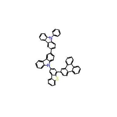 c1ccc(-n2c3ccccc3c3cc(-c4ccc5c(c4)c4ccccc4n5-c4cc(-c5ccc6c7ccccc7c7ccccc7c6c5)c5sc6ccccc6c5c4)ccc32)cc1